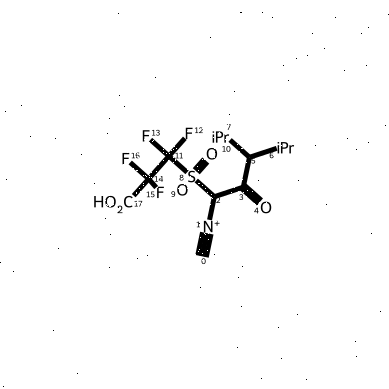 C#[N+]C(C(=O)C(C(C)C)C(C)C)S(=O)(=O)C(F)(F)C(F)(F)C(=O)O